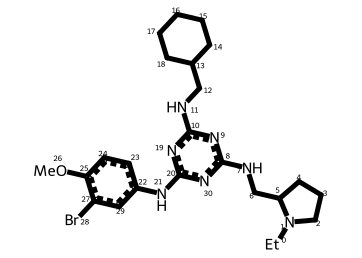 CCN1CCCC1CNc1nc(NCC2CCCCC2)nc(Nc2ccc(OC)c(Br)c2)n1